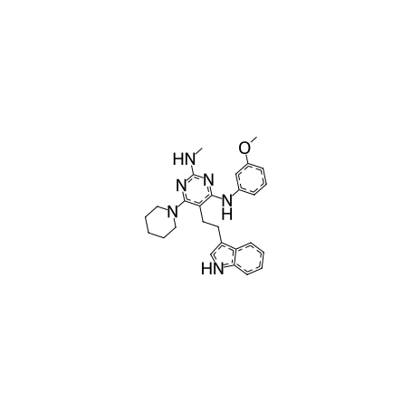 CNc1nc(Nc2cccc(OC)c2)c(CCc2c[nH]c3ccccc23)c(N2CCCCC2)n1